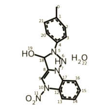 Cc1ccc(N2NN3C(=CN([N+](=O)[O-])c4ccccc43)C2O)cc1.O